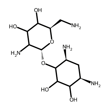 NC[C@H]1O[C@H](OC2C(O)C(O)[C@H](N)C[C@@H]2N)C(N)C(O)C1O